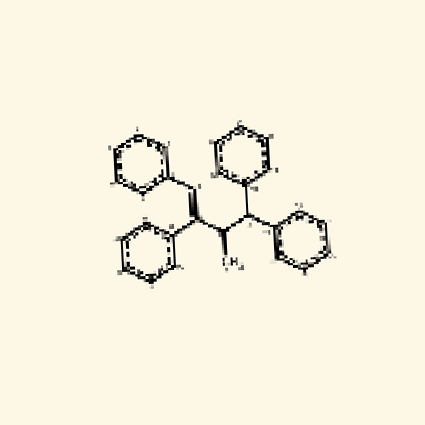 C[C](C(=Cc1ccccc1)c1ccccc1)C(c1ccccc1)c1ccccc1